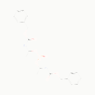 CC(NC(=O)OCc1ccccc1)O[PH](=O)OC(C)NC(=O)OCc1ccccc1